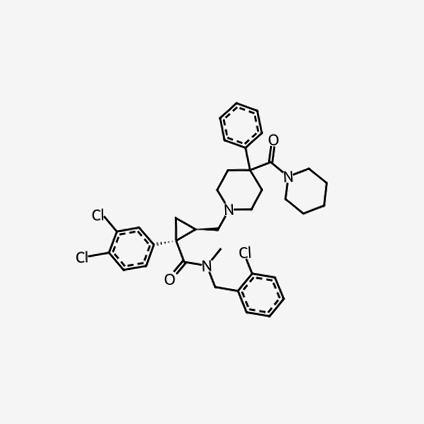 CN(Cc1ccccc1Cl)C(=O)[C@@]1(c2ccc(Cl)c(Cl)c2)C[C@H]1CN1CCC(C(=O)N2CCCCC2)(c2ccccc2)CC1